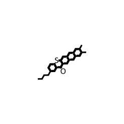 CCCCc1ccc2sc3cc4cc5cc(C)c(C)cc5cc4cc3c(=O)c2c1